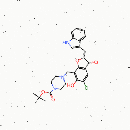 CC(C)(C)OC(=O)N1CCN(Cc2c(O)c(Cl)cc3c2O/C(=C\c2c[nH]c4ccccc24)C3=O)CC1